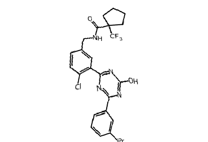 CC(C)c1cccc(-c2nc(O)nc(-c3cc(CNC(=O)C4(C(F)(F)F)CCCC4)ccc3Cl)n2)c1